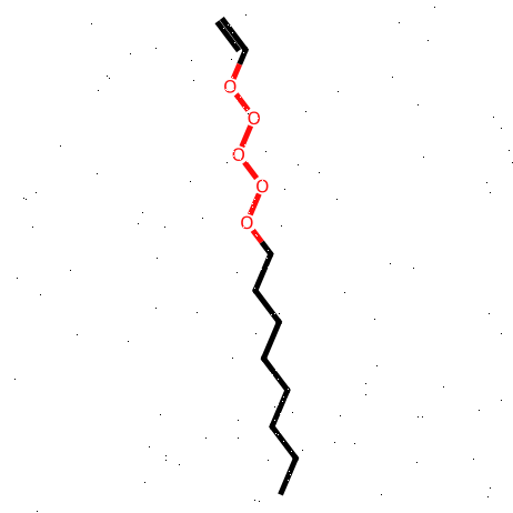 C=COOOOOCCCCCCCC